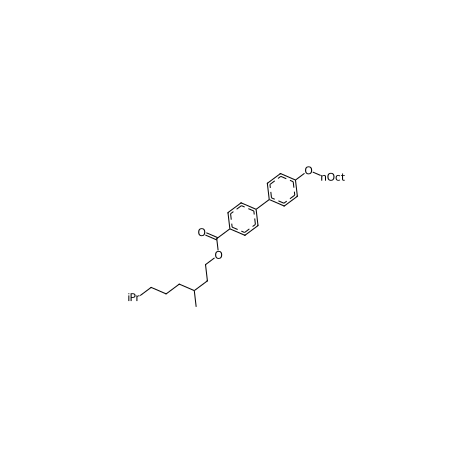 CCCCCCCCOc1ccc(-c2ccc(C(=O)OCCC(C)CCCC(C)C)cc2)cc1